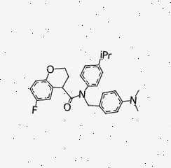 CC(C)c1ccc(N(Cc2ccc(N(C)C)cc2)C(=O)C2CCOc3ccc(F)cc32)cc1